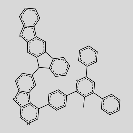 Cc1c(-c2ccccc2)cc(-c2ccccc2)nc1-c1ccc(-c2cncc3sc4ccc(C5c6ccccc6-c6cc7c(cc65)sc5ccccc57)cc4c23)cc1